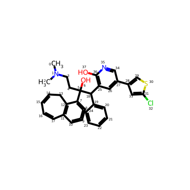 CN(C)CCC(O)(C1=C=C=CC2=C1CC=CC=C2)C(c1ccccc1)c1cc(-c2csc(Cl)c2)cnc1O